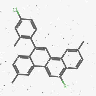 Cc1ccc2c(Br)cc3c4cc(C)ccc4c(-c4ccc(Cl)cc4C)cc3c2c1